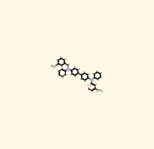 CC1=CCBC(N(c2ccccc2)c2ccc(-c3ccc(N(Cc4cccc(C)c4)C4=CC=CCC4)cc3)cc2)=C1